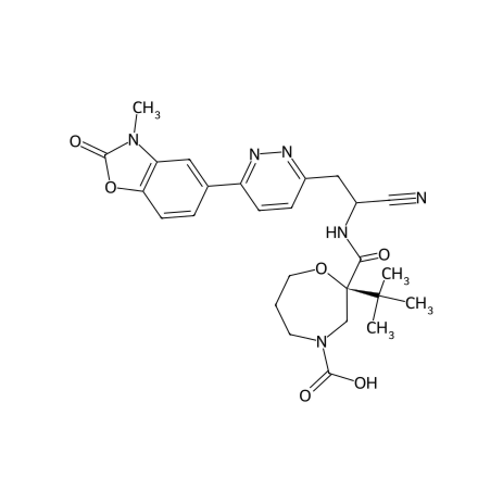 Cn1c(=O)oc2ccc(-c3ccc(CC(C#N)NC(=O)[C@]4(C(C)(C)C)CN(C(=O)O)CCCO4)nn3)cc21